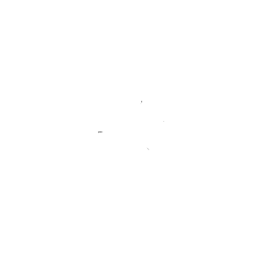 NC1[C@@H](O)C(O)[C@@H](CO)O[C@H]1C(=O)O